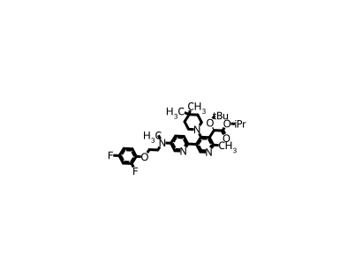 Cc1ncc(-c2ccc(N(C)CCOc3ccc(F)cc3F)cn2)c(N2CCC(C)(C)CC2)c1[C@H](OC(C)(C)C)C(=O)OC(C)C